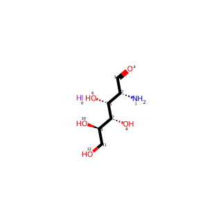 I.N[C@@H](C=O)[C@@H](O)[C@H](O)[C@H](O)CO